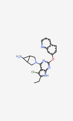 CCc1[nH]c2nc(Oc3ccc4cccnc4c3)nc(N3CC4C(N)C4C3)c2c1Cl